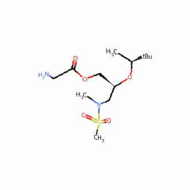 C[C@H](O[C@H](COC(=O)CN)CN(C)S(C)(=O)=O)C(C)(C)C